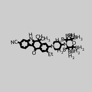 BC1(B)OC(B)(B)C(B)(B)N(C2CCN(c3cc4c(cc3CC)C(=O)c3c([nH]c5cc(C#N)ccc35)C4(C)C)CC2)C1(B)B